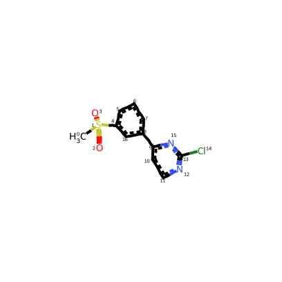 CS(=O)(=O)c1cccc(-c2ccnc(Cl)n2)c1